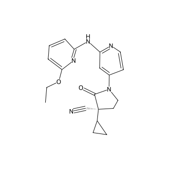 CCOc1cccc(Nc2cc(N3CC[C@@](C#N)(C4CC4)C3=O)ccn2)n1